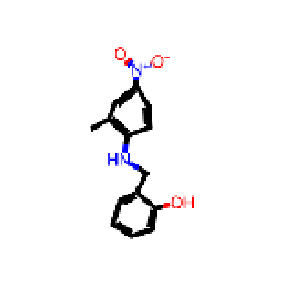 Cc1cc([N+](=O)[O-])ccc1NCc1ccccc1O